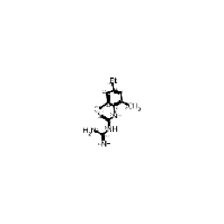 CCc1cc(C)c(NC(=S)NC(=N)N)c(Cl)c1